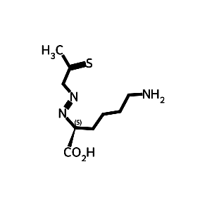 CC(=S)CN=N[C@@H](CCCCN)C(=O)O